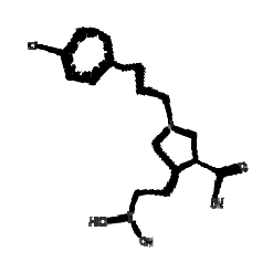 O=C(O)[C@@H]1CN(CCCc2ccc(Cl)cc2)CC1CCB(O)O